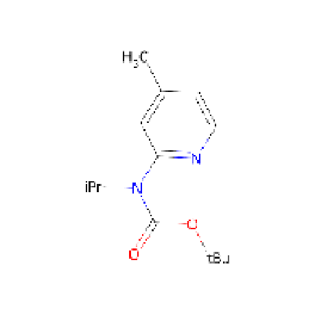 Cc1ccnc(N(C(=O)OC(C)(C)C)C(C)C)c1